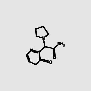 NC(=O)C(C1=NC=CCC1=O)N1CCCC1